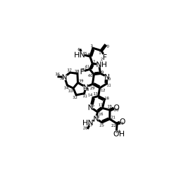 C=C(F)/C=C(/NC)c1[nH]c2ncc(-c3cnc4c(c3)c(=O)c(C(=O)O)cn4NC)c(N3CCC4CN(C)CCC43)c2c1F